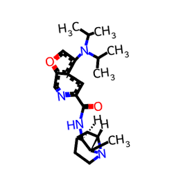 CC(C)N(c1coc2cnc(C(=O)N[C@@H]3C4CCN(CC4)[C@H]3C)cc12)C(C)C